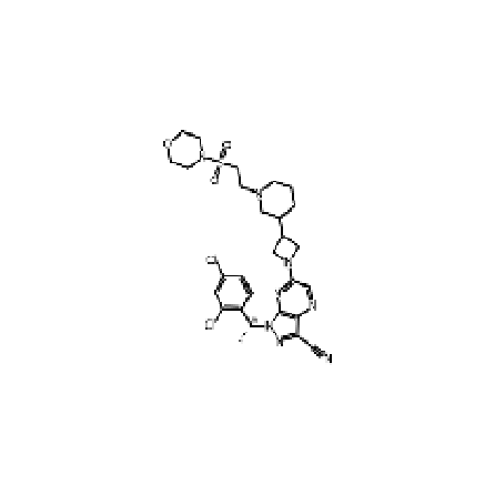 C[C@H](c1ccc(Cl)cc1Cl)n1nc(C#N)c2ncc(N3CC(C4CCCN(CCS(=O)(=O)N5CCOCC5)C4)C3)nc21